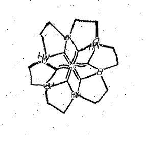 C1CO[C](=[Co](=[C]2NCCO2)(=[C]2NCCO2)(=[C]2NCCO2)(=[C]2NCCO2)=[C]2NCCO2)N1